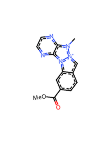 COC(=O)c1ccc2c[n+]3n(C)c4nccnc4n3c2c1